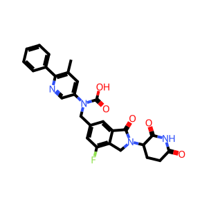 Cc1cc(N(Cc2cc(F)c3c(c2)C(=O)N(C2CCC(=O)NC2=O)C3)C(=O)O)cnc1-c1ccccc1